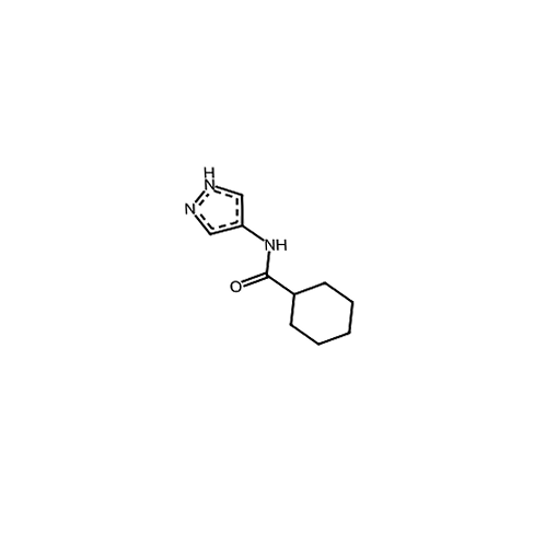 O=C(Nc1cn[nH]c1)C1CCCCC1